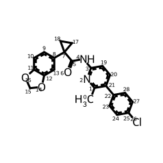 Cc1nc(NC(=O)C2(c3ccc4c(c3)OCO4)CC2)ccc1-c1ccc(Cl)cc1